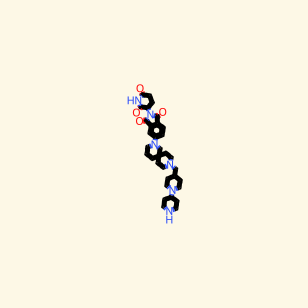 O=C1CCC(N2C(=O)c3ccc(N4CCCC5(CCN(CC6CCN(C7CCNCC7)CC6)CC5)C4)cc3C2=O)C(=O)N1